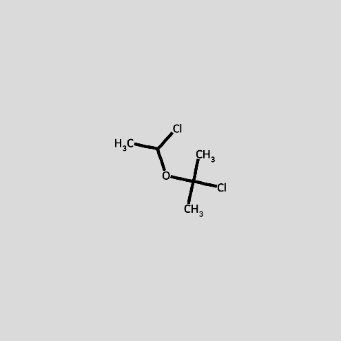 CC(Cl)OC(C)(C)Cl